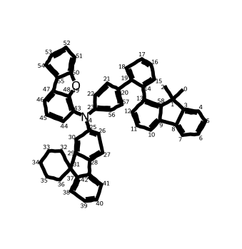 CC1(C)c2ccccc2-c2cccc(-c3ccccc3-c3ccc(N(c4ccc5c(c4)C4(CCCCC4)c4ccccc4-5)c4cccc5c4oc4ccccc45)cc3)c21